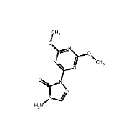 COc1nc(OC)nc(-n2ncn(N)c2=O)n1